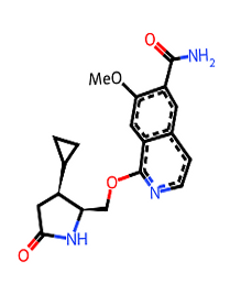 COc1cc2c(OC[C@H]3NC(=O)C[C@H]3C3CC3)nccc2cc1C(N)=O